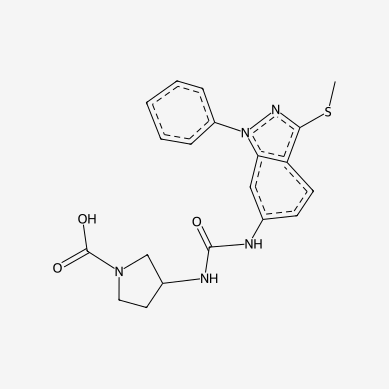 CSc1nn(-c2ccccc2)c2cc(NC(=O)NC3CCN(C(=O)O)C3)ccc12